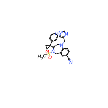 CS(=O)(=O)N1Cc2cc(C#N)ccc2N(Cc2c[nH]cn2)C[C@@H]1C1(c2ccccc2)CC1